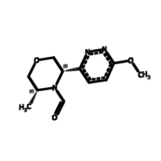 COc1ccc([C@H]2COC[C@@H](C)N2C=O)nn1